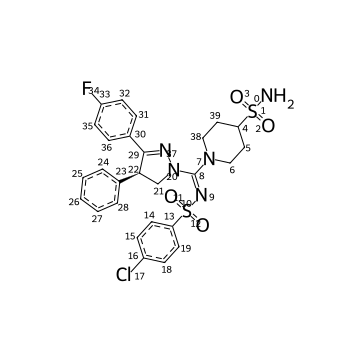 NS(=O)(=O)C1CCN(/C(=N/S(=O)(=O)c2ccc(Cl)cc2)N2C[C@@H](c3ccccc3)C(c3ccc(F)cc3)=N2)CC1